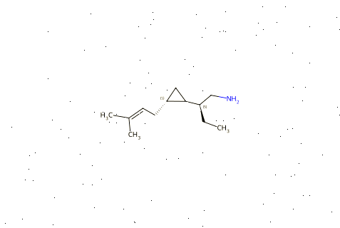 CC[C@H](CN)C1C[C@H]1CC=C(C)C